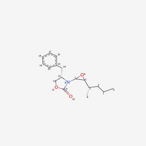 CCC[C@H](C)C1OC1N1C(=O)OC[C@@H]1Cc1ccccc1